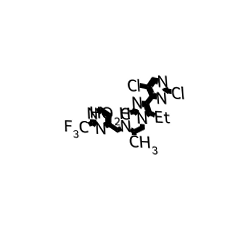 CCc1c(-c2nc(Cl)ncc2Cl)nc(C(=O)O)n1CC(C)NCc1ccnc(C(F)(F)F)n1